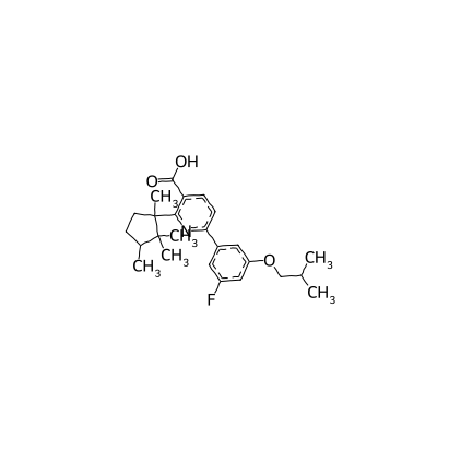 CC(C)COc1cc(F)cc(-c2ccc(C(=O)O)c(C3(C)CCC(C)C3(C)C)n2)c1